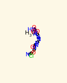 Cc1nc2cc(N3CCN(CC4CCN(c5ccc6c(n5)CN([C@H]5CC[C@H](Oc7ccc(C#N)c(Cl)c7)CC5)C6=O)CC4)CC3)ccc2c(=O)n1C1CCC(=O)NC1=O